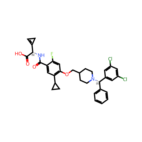 O=C(N[C@H](C(=O)O)C1=CC1)c1cc(C2CC2)c(OCC2CCN([C@@H](c3ccccc3)c3cc(Cl)cc(Cl)c3)CC2)cc1F